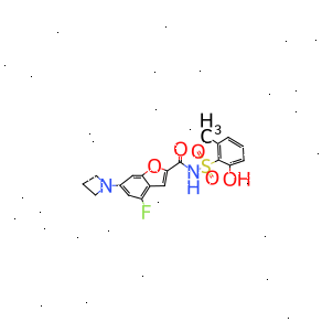 Cc1cccc(O)c1S(=O)(=O)NC(=O)c1cc2c(F)cc(N3CCC3)cc2o1